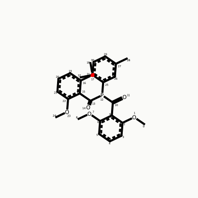 COc1cccc(OC)c1C(=O)P(C(=O)c1c(OC)cccc1OC)c1cc(C)ccc1C